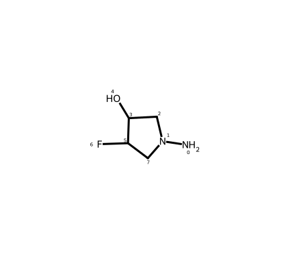 NN1CC(O)C(F)C1